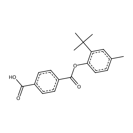 Cc1ccc(OC(=O)c2ccc(C(=O)O)cc2)c(C(C)(C)C)c1